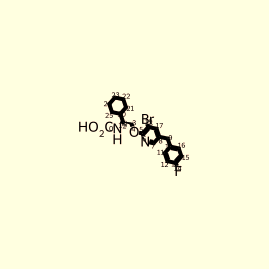 O=C(O)N[C@H](COc1ncc(Cc2ccc(F)cc2)cc1Br)C1CCCCC1